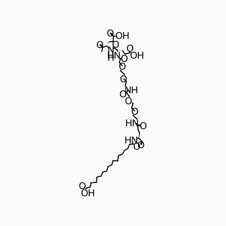 CC(=O)[C@H](CCC(=O)O)NC(=O)[C@H](CCC(=O)O)NC(=O)COCCOCCNC(=O)COCCOCCNC(=O)CC[C@@H](C=O)NC(=O)CCCCCCCCCCCCCCCCC(=O)O